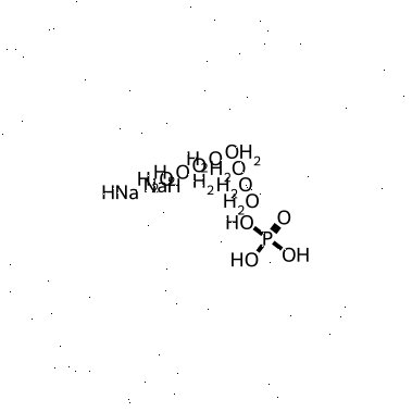 O.O.O.O.O.O.O.O.O=P(O)(O)O.[NaH].[NaH]